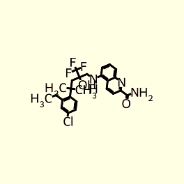 CCc1cc(Cl)ccc1C(C)(C)CC(O)(CNc1cccc2nc(C(N)=O)ccc12)C(F)(F)F